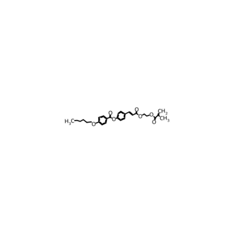 C=C(C)C(=O)OCCOC(=O)/C=C/c1ccc(OC(=O)c2ccc(OCCCCCC)cc2)cc1